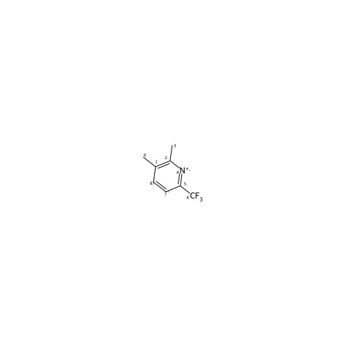 CC1=C(C)[N+]=C(C(F)(F)F)[C]=[C]1